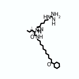 CC[C@H](C)[C@@H](C(=O)NCCCCCCCCCCC(=O)C1CCCCC1)n1cc(CCCCNC(=N)N)nn1